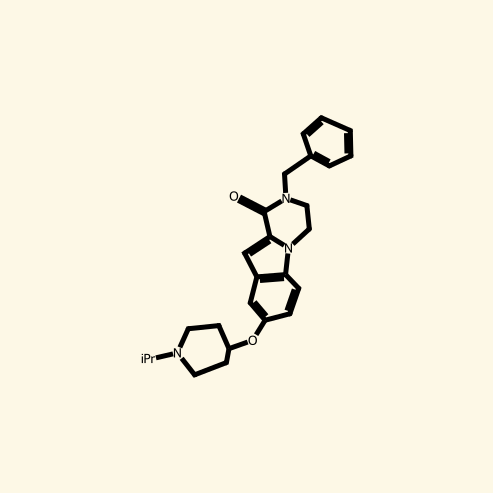 CC(C)N1CCC(Oc2ccc3c(c2)cc2n3CCN(Cc3ccccc3)C2=O)CC1